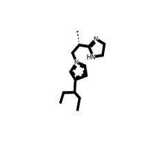 CCC(CC)c1ccn(C[C@H](C)C2=NCCN2)c1